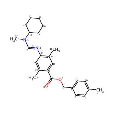 Cc1ccc(COC(=O)c2cc(C)c(/N=C/N(C)C3CCCCC3)cc2C)cc1